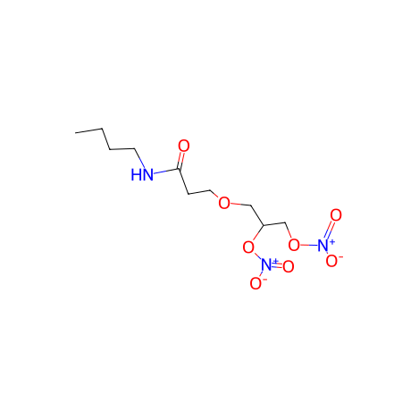 CCCCNC(=O)CCOCC(CO[N+](=O)[O-])O[N+](=O)[O-]